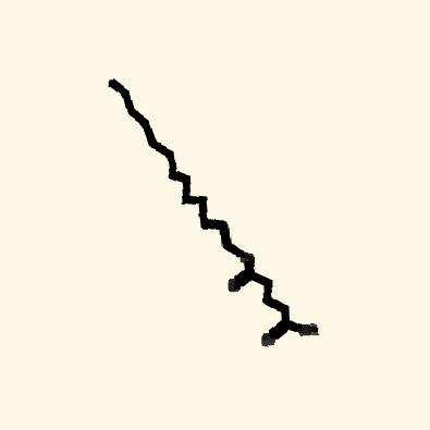 CCCCCCCCCCC=CCOC(=O)CCCC(=O)O